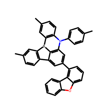 Cc1ccc(N2c3ccc(C)cc3B3c4cc(C)ccc4-c4cc(-c5cccc6oc7ccccc7c56)cc2c43)cc1